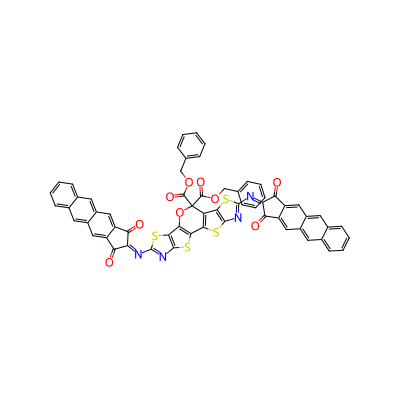 O=C(OCc1ccccc1)C1(C(=O)OCc2ccccc2)Oc2c(sc3nc(N=c4c(=O)c5cc6cc7ccccc7cc6cc5c4=O)sc23)-c2sc3nc(N=c4c(=O)c5cc6cc7ccccc7cc6cc5c4=O)sc3c21